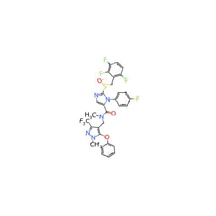 CN(Cc1c(C(F)(F)F)nn(C)c1Oc1ccccc1)C(=O)c1cnc([S+]([O-])Cc2c(F)ccc(F)c2F)n1-c1ccc(F)cc1